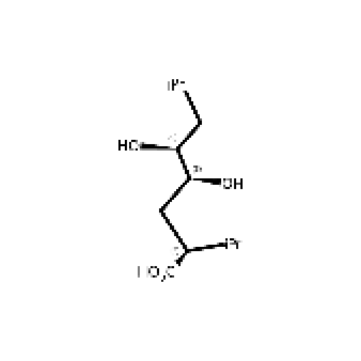 CC(C)C[C@H](O)[C@@H](O)C[C@H](C(=O)O)C(C)C